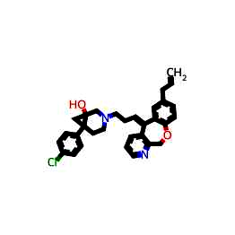 C=CCc1ccc2c(c1)/C(=C/CCN1CCC3(c4ccc(Cl)cc4)CC3(O)C1)c1cccnc1CO2